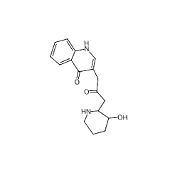 O=C(Cc1c[nH]c2ccccc2c1=O)CC1NCCCC1O